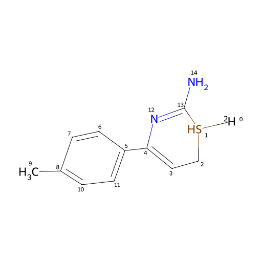 [2H][SH]1CC=C(c2ccc(C)cc2)N=C1N